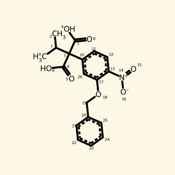 CC(C)C(C(=O)O)(C(=O)O)c1ccc([N+](=O)[O-])c(OCc2ccccc2)c1